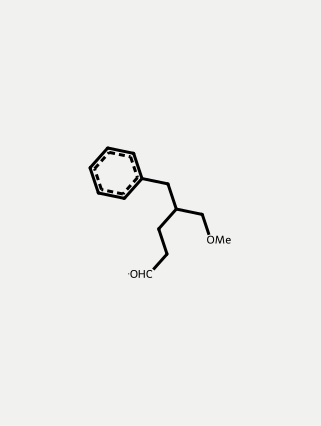 COCC(CC[C]=O)Cc1ccccc1